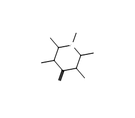 CC1C(=O)C(C)C(C)N(C)C1C